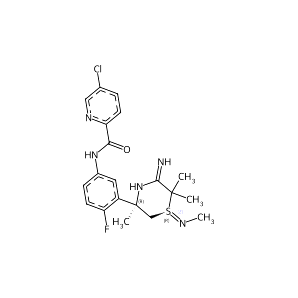 C/N=[S@]1/C[C@@](C)(c2cc(NC(=O)c3ccc(Cl)cn3)ccc2F)NC(=N)C1(C)C